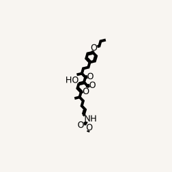 CCCOc1ccc(CCC(C)C(=O)c2c(O)cc(C(C)CC/C=C/NC(=O)OC)oc2=O)cc1